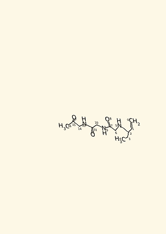 C=CC(CC)NCC(=O)NCC(=O)NCC(C)=O